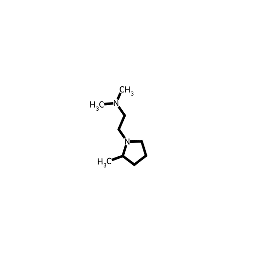 CC1CCCN1CCN(C)C